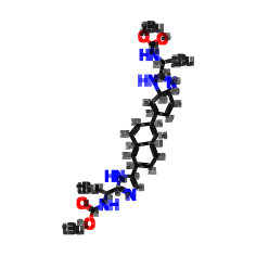 CC(C)(C)OC(=O)N[C@H](c1ncc(-c2ccc3cc(-c4ccc5nc([C@@H](NC(=O)OC(C)(C)C)C(C)(C)C)[nH]c5c4)ccc3c2)[nH]1)C(C)(C)C